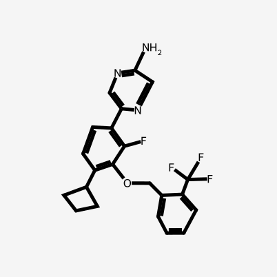 Nc1cnc(-c2ccc(C3CCC3)c(OCc3ccccc3C(F)(F)F)c2F)cn1